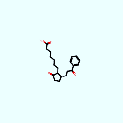 O=C(O)CCCCCC[C@@H]1C(=O)CC[C@H]1CCC(=O)c1ccccc1